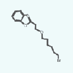 BrCCCCCCOCCc1nc2ccccc2o1